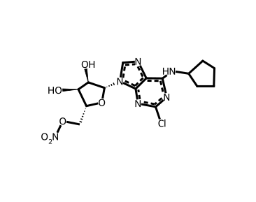 O=[N+]([O-])OC[C@H]1O[C@@H](n2cnc3c(NC4CCCC4)nc(Cl)nc32)[C@H](O)[C@@H]1O